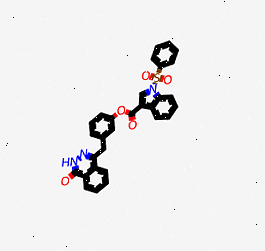 O=C(Oc1cccc(Cc2n[nH]c(=O)c3ccccc23)c1)c1cn(S(=O)(=O)c2ccccc2)c2ccccc12